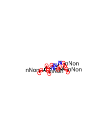 CCCCCCCCCC(=O)OCC(COC(=O)CCCCCCCCC)CC(=O)OCCN(CCOC(=O)CC(COC(=O)CCCCCCCCC)COC(=O)CCCCCCCCC)C(=O)N(C)CCCN(C)C